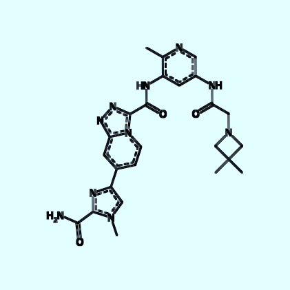 Cc1ncc(NC(=O)CN2CC(C)(C)C2)cc1NC(=O)c1nnc2cc(-c3cn(C)c(C(N)=O)n3)ccn12